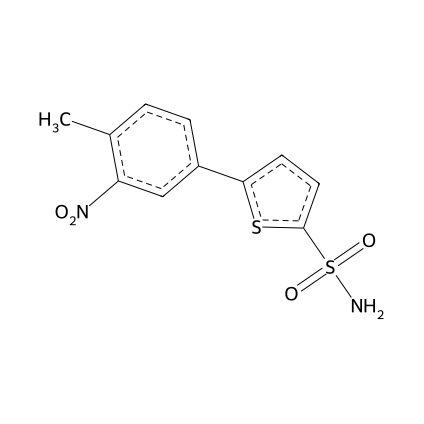 Cc1ccc(-c2ccc(S(N)(=O)=O)s2)cc1[N+](=O)[O-]